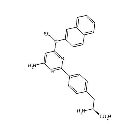 CCN(c1ccc2ccccc2c1)c1cc(N)nc(-c2ccc(C[C@H](N)C(=O)O)cc2)n1